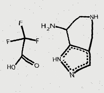 NC1CNCc2cn[nH]c21.O=C(O)C(F)(F)F